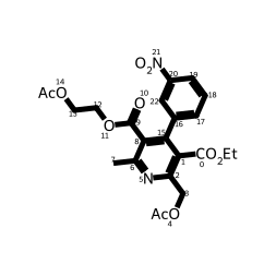 CCOC(=O)c1c(COC(C)=O)nc(C)c(C(=O)OCCOC(C)=O)c1-c1cccc([N+](=O)[O-])c1